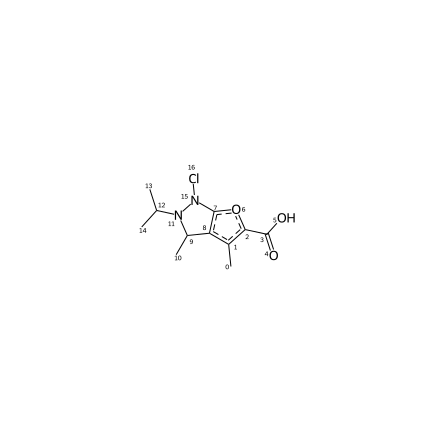 Cc1c(C(=O)O)oc2c1C(C)N(C(C)C)N2Cl